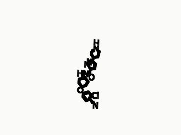 N#Cc1ccc(O[C@H]2CC[C@H](NC(=O)c3ccc(C4CCNCC4)nn3)CC2)cc1Cl